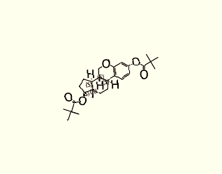 CC(C)(C)C(=O)Oc1ccc2c(c1)OC[C@@H]1[C@@H]2CC[C@]2(C)[C@@H](OC(=O)C(C)(C)C)CC[C@@H]12